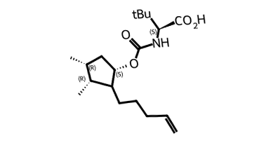 C=CCCCC1[C@@H](OC(=O)N[C@H](C(=O)O)C(C)(C)C)C[C@@H](C)[C@H]1C